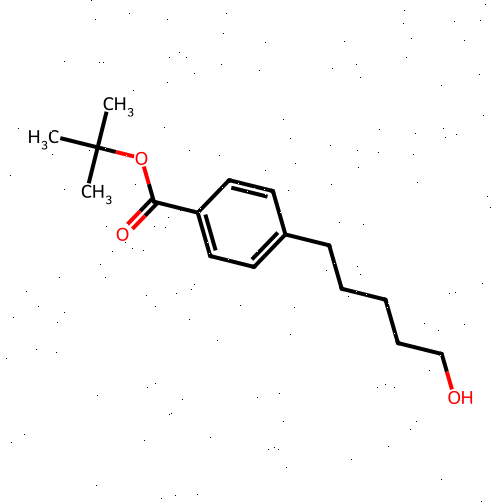 CC(C)(C)OC(=O)c1ccc(CCCCCO)cc1